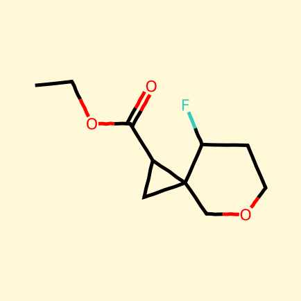 CCOC(=O)C1CC12COCCC2F